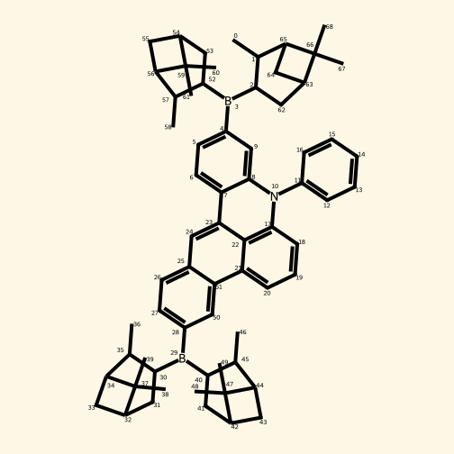 CC1C(B(c2ccc3c(c2)N(c2ccccc2)c2cccc4c2c-3cc2ccc(B(C3CC5CC(C3C)C5(C)C)C3CC5CC(C3C)C5(C)C)cc24)C2CC3CC(C2C)C3(C)C)CC2CC1C2(C)C